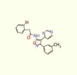 Cc1cccc(-c2noc(NC(=O)Cc3ccccc3Br)c2-c2ccncn2)c1